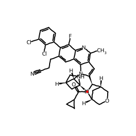 Cc1nc2c(F)c(-c3cccc(Cl)c3Cl)c(CCC#N)cc2c2c1cc([C@H]1[C@@H]3COC[C@@H](C3)N1C(=O)C1CC1)n2[C@H]1[C@H]2CN[C@@H]1C2